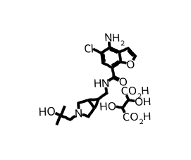 CC(C)(O)CN1CC2C(CNC(=O)c3cc(Cl)c(N)c4ccoc34)C2C1.O=C(O)C(O)C(O)C(=O)O